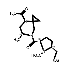 C[C@H]1CN(C(=O)C(F)(F)F)C2(CC2)CN1C(=O)[C@@H]1CC[C@@H](CC(C)(C)C)N1C(=O)O